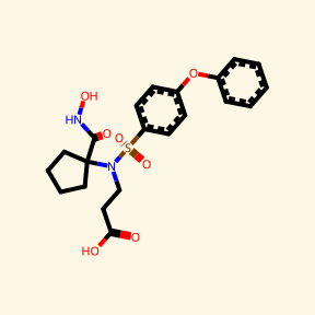 O=C(O)CCN(C1(C(=O)NO)CCCC1)S(=O)(=O)c1ccc(Oc2ccccc2)cc1